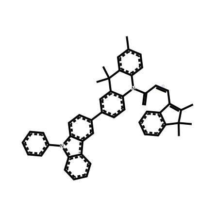 C=C(/C=C\C1=C(C)C(C)(C)c2ccccc21)N1c2ccc(C)cc2C(C)(C)c2cc(-c3ccc4c(c3)c3ccccc3n4-c3ccccc3)ccc21